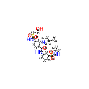 CC(C)=C1CCN(c2cc(NS(=O)(=O)CCO)ccc2C(=O)Nc2cccc(S(=O)(=O)NC(C)(C)C)c2)CC1